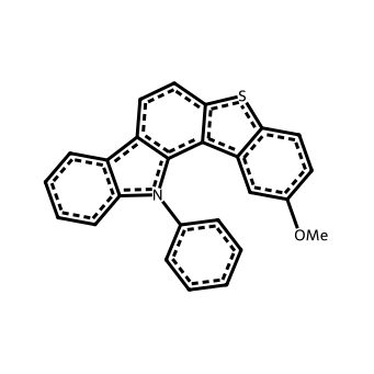 COc1ccc2sc3ccc4c5ccccc5n(-c5ccccc5)c4c3c2c1